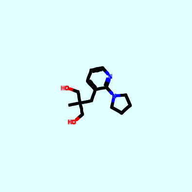 CC(CO)(CO)Cc1cccnc1N1CCCC1